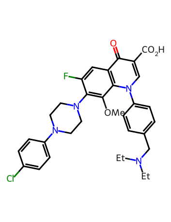 CCN(CC)Cc1ccc(-n2cc(C(=O)O)c(=O)c3cc(F)c(N4CCN(c5ccc(Cl)cc5)CC4)c(OC)c32)cc1